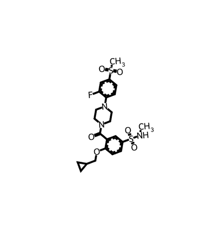 CNS(=O)(=O)c1ccc(OCC2CC2)c(C(=O)N2CCN(c3ccc(S(C)(=O)=O)cc3F)CC2)c1